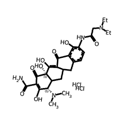 CCN(CC)CC(=O)Nc1ccc2c(c1O)C(=O)C1=C(O)[C@]3(O)C(=O)C(C(N)=O)=C(O)[C@@H](N(C)C)C3CC1C2.Cl.Cl